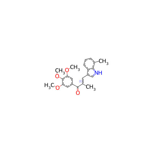 COc1cc(C(=O)/C(C)=C/c2c[nH]c3c(C)cccc23)cc(OC)c1OC